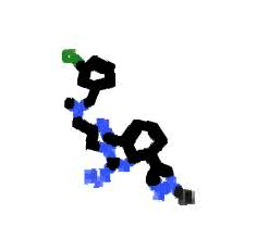 CCn1cc(-c2cccc3c2nc(N)n2cc(CN(C)Cc4cccc(Cl)c4)nc32)cn1